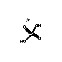 O=S(=O)(O)O.[H]